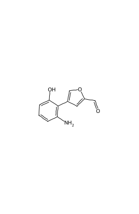 Nc1cccc(O)c1-c1coc(C=O)c1